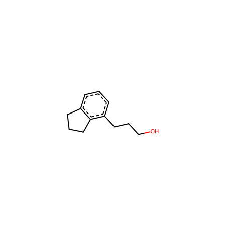 OCCCc1cccc2c1CCC2